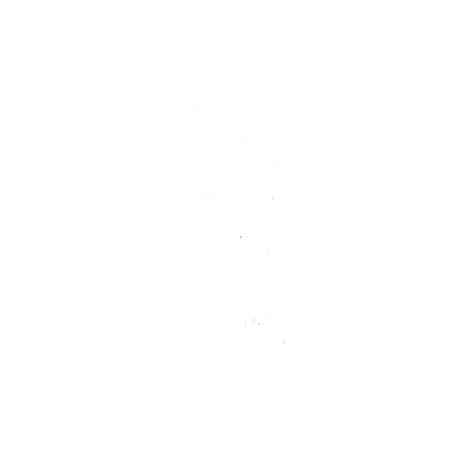 C=C(C)c1cccc(C(C)(C)OC(=O)NC(C)C)c1